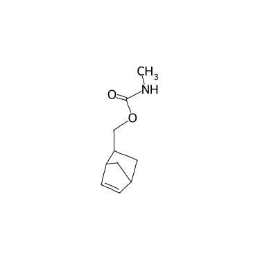 CNC(=O)OCC1CC2C=CC1C2